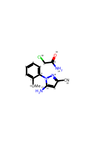 COc1ccccc1-n1nc(C#N)cc1N.NC(=O)CCl